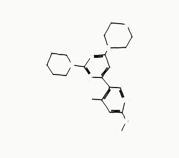 CCCNc1cc(C)c(-c2cc(N3CCOCC3)nc(N3CCCCC3)n2)cn1